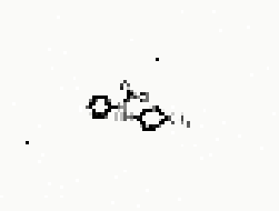 Cc1ccc(NN(C(=O)Cl)c2ccccc2)cc1